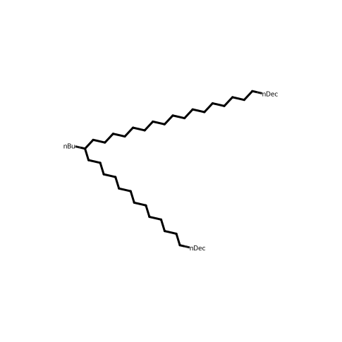 [CH2]CCCC(CCCCCCCCCCCCCCCCCCCCCCC)CCCCCCCCCCCCCCCCCCCCCCCCCCC